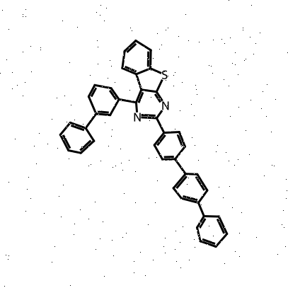 c1ccc(-c2ccc(-c3ccc(-c4nc(-c5cccc(-c6ccccc6)c5)c5c(n4)sc4ccccc45)cc3)cc2)cc1